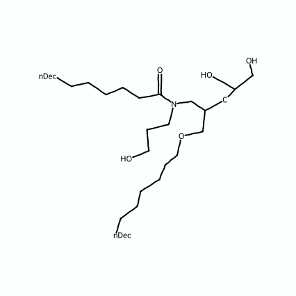 CCCCCCCCCCCCCCCCOCC(CC(O)CO)CN(CCCO)C(=O)CCCCCCCCCCCCCCC